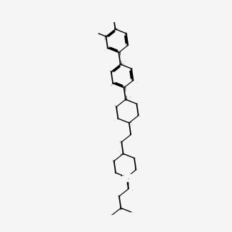 CC(C)CC[SiH]1CCC(CCC2CCC(c3ccc(-c4ccc(F)c(F)c4)cc3)CC2)CC1